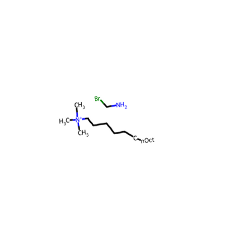 CCCCCCCCCCCCCC[N+](C)(C)C.NCBr